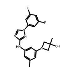 Cc1cc(Nc2ncn(-c3cc(F)cc(F)c3)n2)cc(N2CC(C)(O)C2)c1